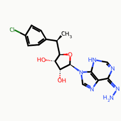 C[C@H](c1ccc(Cl)cc1)[C@H]1O[C@@H](n2cnc3/c(=N\N)nc[nH]c32)[C@H](O)[C@@H]1O